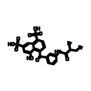 O=C(c1cccc(NC(=O)C(Br)CBr)c1)c1ccc(S(=O)(=O)O)c2cc(S(=O)(=O)O)cc(O)c12